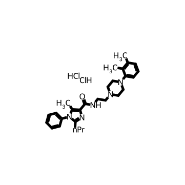 CCCc1nc(C(=O)NCCN2CCN(c3cccc(C)c3C)CC2)c(C)n1-c1ccccc1.Cl.Cl